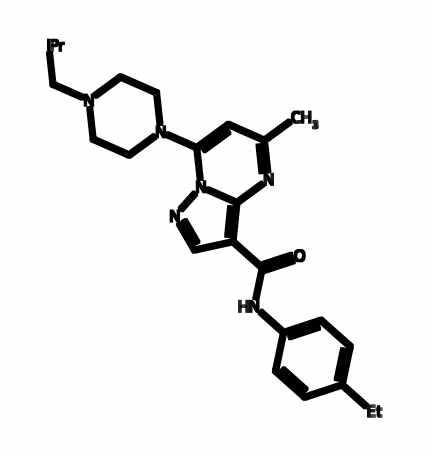 CCc1ccc(NC(=O)c2cnn3c(N4CCN(CC(C)C)CC4)cc(C)nc23)cc1